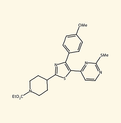 CCOC(=O)N1CCC(c2nc(-c3ccc(OC)cc3)c(-c3ccnc(SC)n3)s2)CC1